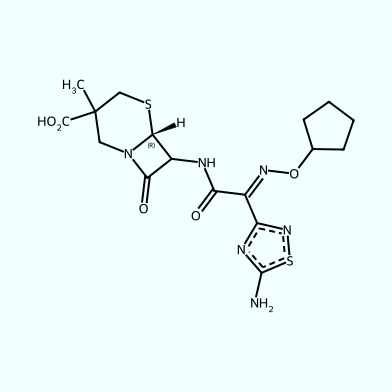 CC1(C(=O)O)CS[C@@H]2C(NC(=O)C(=NOC3CCCC3)c3nsc(N)n3)C(=O)N2C1